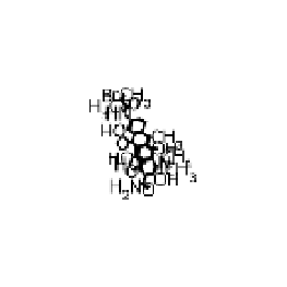 CC1c2ccc(NC(=O)C(C)(C)Br)c(O)c2C(=O)C2=C(O)[C@]3(O)C(=O)C(C(N)=O)=C(O)[C@@H](N(C)C)C3C(O)C21